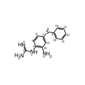 N=C(N)Nc1ccc(Sc2ccccc2)cc1N